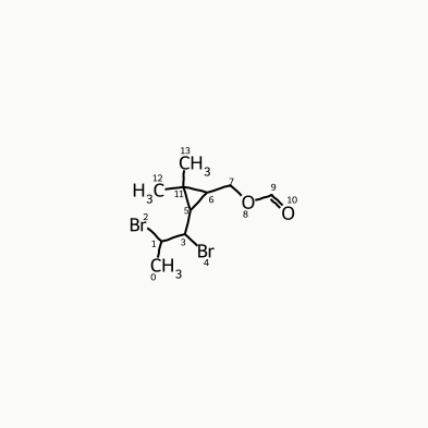 CC(Br)C(Br)C1C(COC=O)C1(C)C